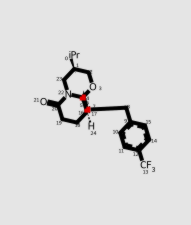 CC(C)[C@H]1CO[C@]23CCN(Cc4ccc(C(F)(F)F)cc4)C[C@H]2CCC(=O)N3C1